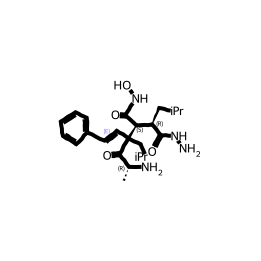 CC(C)C[C@@H](C(=O)NN)[C@H](C(=O)NO)C(/C=C/c1ccccc1)(CC(C)C)C(=O)[C@@H](C)N